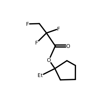 CCC1(OC(=O)C(F)(F)CF)CCCC1